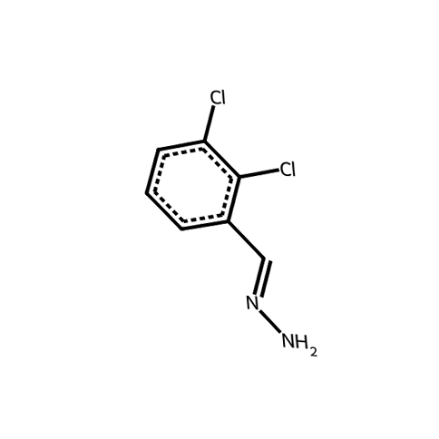 NN=Cc1cccc(Cl)c1Cl